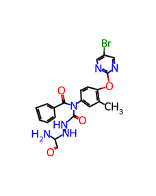 Cc1cc(N(C(=O)NNC(N)C=O)C(=O)c2ccccc2)ccc1Oc1ncc(Br)cn1